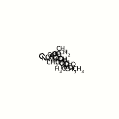 C=C(C)[C@@H]1CC[C@]2(C(=O)NC(C)(C)CN3CCCCC3)CC[C@]3(C)[C@H](CC[C@@H]4[C@@]5(C)CC[C@H](OC(C)=O)C(C)(C)[C@@H]5CC[C@]43C)[C@@H]12